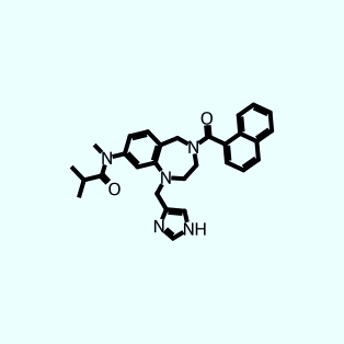 CC(C)C(=O)N(C)c1ccc2c(c1)N(Cc1c[nH]cn1)CCN(C(=O)c1cccc3ccccc13)C2